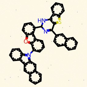 c1ccc2cc(C3=NC(c4cccc5oc6c(-n7c8ccccc8c8cc9ccccc9cc87)cccc6c45)Nc4c3sc3ccccc43)ccc2c1